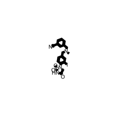 CN(Cc1cccc(C#N)c1)Cc1ccc(N2CC(=O)NS2(=O)=O)c(I)c1